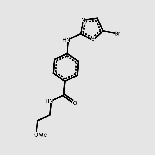 COCCNC(=O)c1ccc(Nc2ncc(Br)s2)cc1